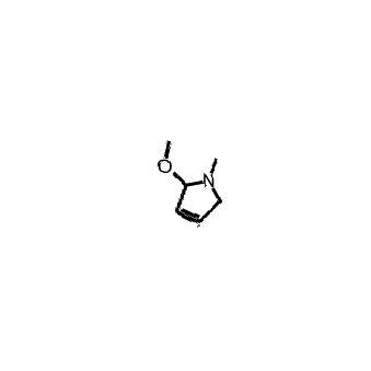 COC1C=[C]CN1C